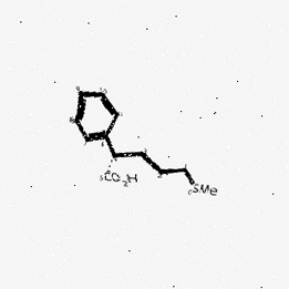 CSCCC[C@H](C(=O)O)c1ccccc1